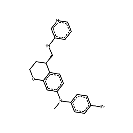 CC(C)c1ccc(N(C)c2ccc3c(c2)OCC[C@H]3CNc2cccnc2)cc1